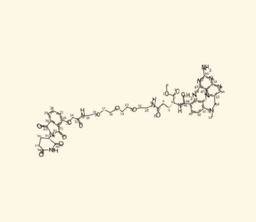 COC(=O)[C@@H](CCC(=O)NCCOCCOCCOCCNC(=O)COc1cccc2c1C(=O)N(C1CCC(=O)NC1=O)C2=O)NC(=O)c1ccc(N(C)Cc2cnc3nc(N)nc(N)c3n2)cc1